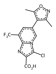 Cc1noc(C)c1-c1cc(C(F)(F)F)c2nc(C(=O)O)c(Cl)n2c1